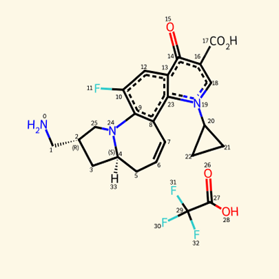 NC[C@H]1C[C@@H]2CC=Cc3c(c(F)cc4c(=O)c(C(=O)O)cn(C5CC5)c34)N2C1.O=C(O)C(F)(F)F